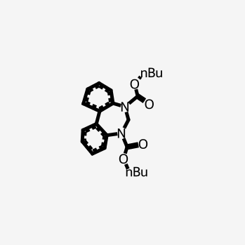 CCCCOC(=O)N1CN(C(=O)OCCCC)c2ccccc2-c2ccccc21